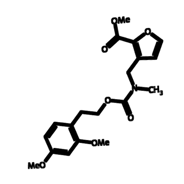 COC(=O)c1occc1CN(C)C(=O)OCCc1ccc(OC)cc1OC